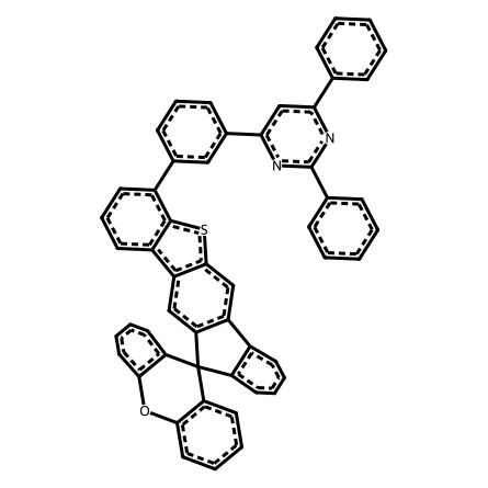 c1ccc(-c2cc(-c3cccc(-c4cccc5c4sc4cc6c(cc45)C4(c5ccccc5Oc5ccccc54)c4ccccc4-6)c3)nc(-c3ccccc3)n2)cc1